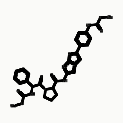 CC(C)(C)OC(=O)Nc1ccc(-c2cn3cc(NC(=O)C4CCCN4C(=O)[C@@H](NC(=O)OC(C)(C)C)c4ccccc4)nc3s2)cc1